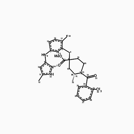 COC(=O)C1(Cc2nc(Nc3cc(C)[nH]n3)ccc2F)CCN(C(=O)c2ccccc2C(F)(F)F)[C@H](C)C1